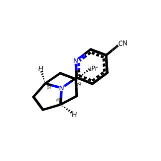 CC(C)[C@@H]1C[C@H]2CC[C@@H](C1)N2c1ccc(C#N)cn1